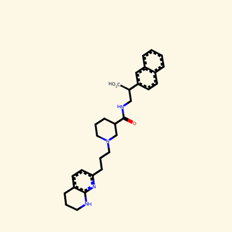 O=C(NCC(C(=O)O)c1ccc2ccccc2c1)C1CCCN(CCCc2ccc3c(n2)NCCC3)C1